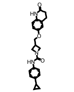 O=C1CCc2cc(OCC3CN(C(=O)Nc4ccc(C5CC5)cc4)C3)ccc2N1